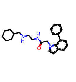 O=C(Cn1ccc2cccc(-c3ccccc3)c21)NCCNCC1CCCCC1